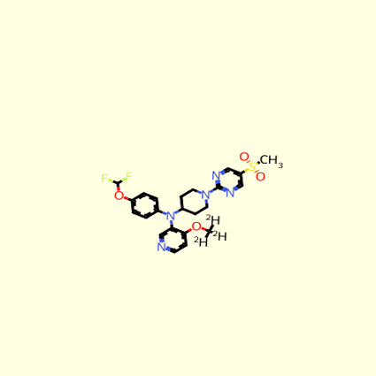 [2H]C([2H])([2H])Oc1ccncc1N(c1ccc(OC(F)F)cc1)C1CCN(c2ncc(S(C)(=O)=O)cn2)CC1